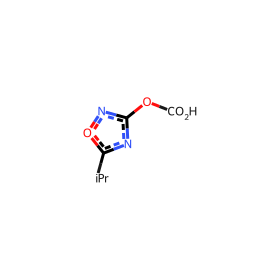 CC(C)c1nc(OC(=O)O)no1